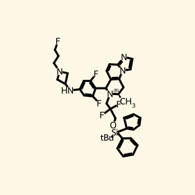 C[C@@H]1Cc2c(ccc3nccn23)C(c2c(F)cc(NC3CN(CCCF)C3)cc2F)N1CC(F)(F)CO[Si](c1ccccc1)(c1ccccc1)C(C)(C)C